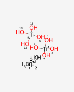 [BaH2].[BiH3].[KH].[OH][Ti]([OH])([OH])[OH].[OH][Ti]([OH])([OH])[OH]